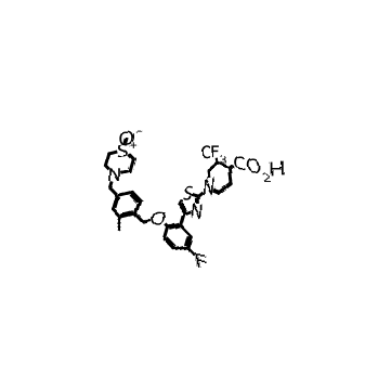 Cc1cc(CN2CC[S+]([O-])CC2)ccc1COc1ccc(F)cc1-c1csc(N2CCC(C(=O)O)C(C(F)(F)F)C2)n1